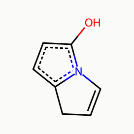 Oc1ccc2n1C=CC2